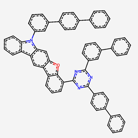 c1ccc(-c2ccc(-c3cccc(-n4c5ccccc5c5cc6c(cc54)oc4c(-c5nc(-c7ccc(-c8ccccc8)cc7)nc(-c7cccc(-c8ccccc8)c7)n5)cccc46)c3)cc2)cc1